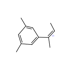 C/C=C(/C)c1cc(C)cc(C)c1